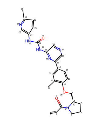 C=CC(=O)N1CCC[C@@H]1COc1ccc(-c2cncc(NC(=O)Nc3ccc(C)nc3)n2)cc1C